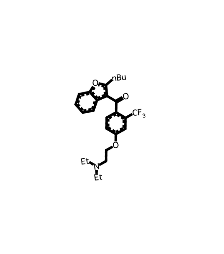 CCCCc1oc2ccccc2c1C(=O)c1ccc(OCCN(CC)CC)cc1C(F)(F)F